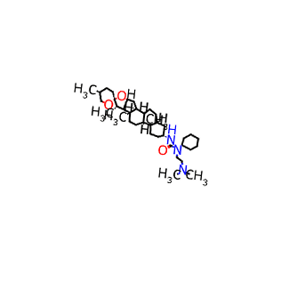 C[C@H]1CC[C@@]2(OC1)O[C@H]1C[C@H]3[C@@H]4CC[C@@H]5C[C@H](NC(=O)N(CCN(C)C)C6CCCCC6)CC[C@]5(C)[C@H]4CC[C@]3(C)C1[C@@H]2C